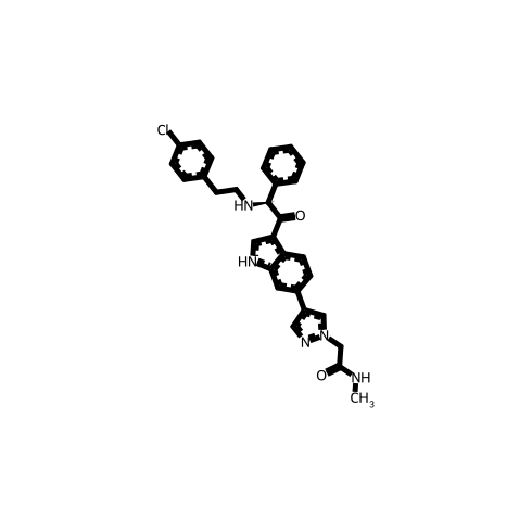 CNC(=O)Cn1cc(-c2ccc3c(C(=O)[C@@H](NCCc4ccc(Cl)cc4)c4ccccc4)c[nH]c3c2)cn1